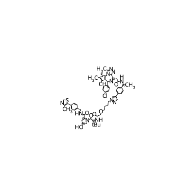 Cc1ncsc1-c1ccc(CNC(=O)[C@@H]2C[C@@H](O)CN2C(=O)[C@@H](NC(=O)COCCCCn2cc(-c3ccc([C@@H](C)NC(=O)C[C@@H]4N=C(c5ccc(Cl)cc5)c5c(sc(C)c5C)-n5c(C)nnc54)cc3)cn2)C(C)(C)C)cc1